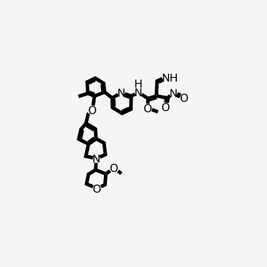 CO/C(Nc1cccc(-c2cccc(C)c2OCc2ccc3c(c2)CCN(C2CCOCC2OC)C3)n1)=C(/C=N)C(=O)N=O